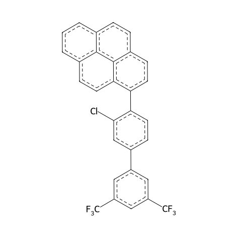 FC(F)(F)c1cc(-c2ccc(-c3ccc4ccc5cccc6ccc3c4c56)c(Cl)c2)cc(C(F)(F)F)c1